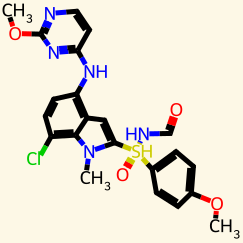 COc1ccc([SH](=O)(NC=O)c2cc3c(Nc4ccnc(OC)n4)ccc(Cl)c3n2C)cc1